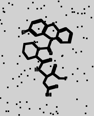 O=C(O)CC(NC(=O)C1CCCCN1C(=O)N1c2ccccc2Sc2ccc(Cl)cc21)C(=O)CF